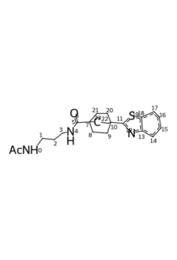 CC(=O)NCCCNC(=O)C12CCC(c3nc4ccccc4s3)(CC1)CC2